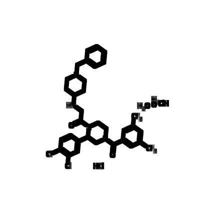 Cl.Cl.O.O.O=C(c1cc(C(F)(F)F)cc(C(F)(F)F)c1)N1CCN(C(=O)CNC2CCN(Cc3ccccc3)CC2)C(c2ccc(Cl)c(Cl)c2)C1